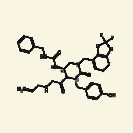 C=CCNCC(=O)N1[C@@H](NC(=O)NCc2ccccc2)CN(CC2=CCCC3=C2OC(F)(F)O3)C(=O)[C@@H]1Cc1ccc(O)cc1